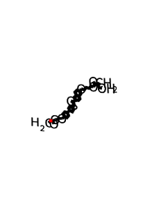 C=CC(=O)OCCOc1ccc(-c2ccc(SC(=O)c3ccc4cc(OCCCCOC(=O)C(=C)CO)ccc4c3)cc2)cc1